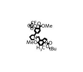 COC(=O)c1ccc(C2CCCCN2Cc2c(OC)cc(C)c3c2ccn3C(=O)OC(C)(C)C)cc1OS(=O)(=O)C(F)(F)F